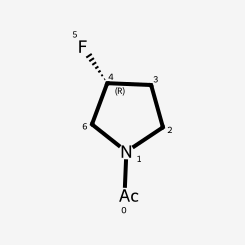 CC(=O)N1CC[C@@H](F)C1